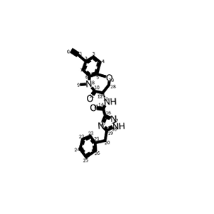 C#Cc1ccc2c(c1)N(C)C(=O)[C@@H](NC(=O)c1n[nH]c(Cc3ccccc3)n1)CO2